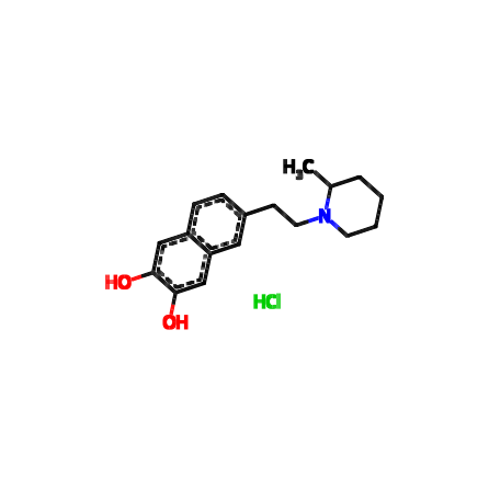 CC1CCCCN1CCc1ccc2cc(O)c(O)cc2c1.Cl